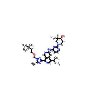 Cc1nc(-c2ncc(C(C)C)c3cc(Nc4ccnc(N5CCC(O)C(C)(F)C5)n4)ncc23)nn1COCC[Si](C)(C)C